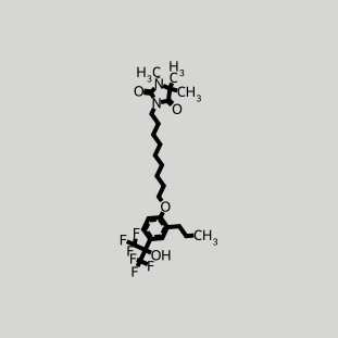 CCCc1cc(C(O)(C(F)(F)F)C(F)(F)F)ccc1OCCCCCCCCCN1C(=O)N(C)C(C)(C)C1=O